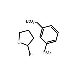 CCC1CCCO1.CCOC(=O)c1cccc(OC)c1